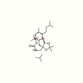 Cc1cnc(C[C@]2([C@H](CC(C)C)NC(=O)OC(C)(C)C)OC(C)(C)OC2=O)cc1CCC(C)C